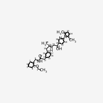 CCOc1ccccc1CNC(=O)Cc1cccc(CC(C)NCC(O)c2ccc(-n3c(C)ccc3C)nc2)c1